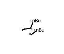 CCCCC.[Li][CH2]CCCC